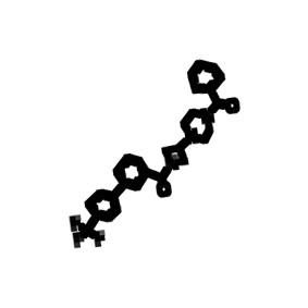 O=C(c1ccccc1)N1CCN(C2CN(C(=O)c3cccc(-c4ccc(C(F)(F)F)cc4)c3)C2)CC1